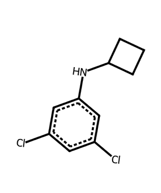 Clc1cc(Cl)cc(NC2CCC2)c1